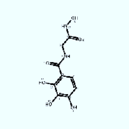 O=C(CNC(=O)c1ccc(O)c(O)c1O)NO